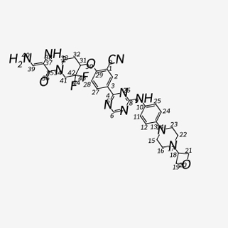 N#Cc1cc(-c2ncnc(Nc3ccc(N4CCN(C5COC5)CC4)cc3)n2)ccc1OC1CCN(C(=O)/C(N)=C/N)CC1(F)F